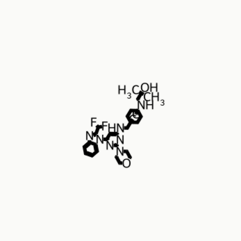 CC(C)(O)CNC12CCC(CNc3cc(-n4c(C(F)F)nc5ccccc54)nc(N4CCOCC4)n3)(CC1)CC2